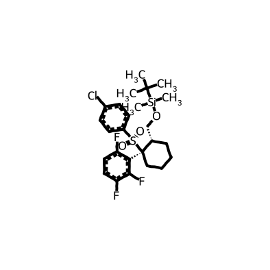 CC(C)(C)[Si](C)(C)OC[C@@H]1CCCC[C@@]1(c1c(F)ccc(F)c1F)S(=O)(=O)c1ccc(Cl)cc1